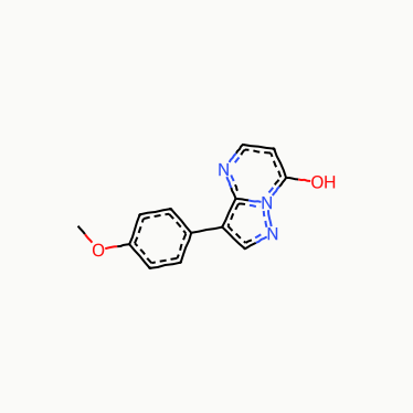 COc1ccc(-c2cnn3c(O)ccnc23)cc1